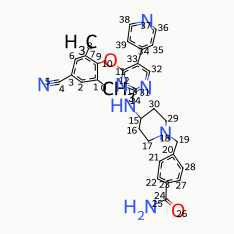 Cc1cc(C#N)cc(C)c1Oc1nc(NC2CCN(Cc3ccc(C(N)=O)cc3)CC2)ncc1-c1ccncc1